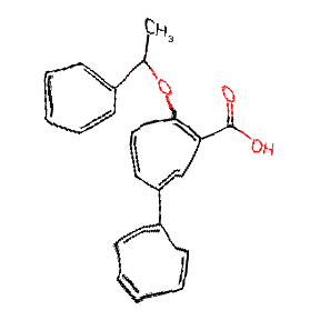 CC(Oc1ccc(-c2ccccc2)cc1C(=O)O)c1ccccc1